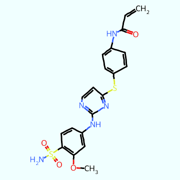 C=CC(=O)Nc1ccc(Sc2ccnc(Nc3ccc(S(N)(=O)=O)c(OC)c3)n2)cc1